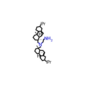 CC(C)C1CC[C@@H]2C(=CCC3[C@@](C)(CN(CCN)C[C@@]4(C)CCC[C@@]5(C)C4CC=C4CC(C(C)C)CC[C@H]45)CCC[C@@]32C)C1